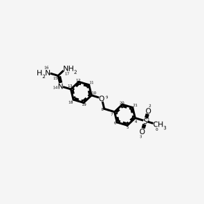 CS(=O)(=O)c1ccc(COc2ccc(N=C(N)N)cc2)cc1